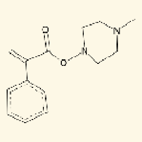 C=C(C(=O)ON1CCN(C)CC1)c1ccccc1